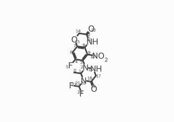 CC1N(c2c(F)cc3c(c2[N+](=O)[O-])NC(=O)CO3)NCC(=O)N1C(F)F